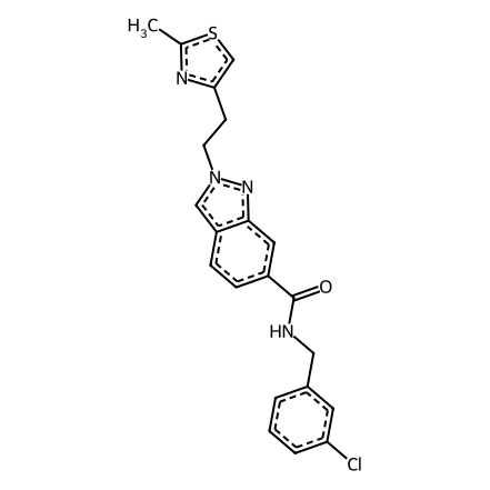 Cc1nc(CCn2cc3ccc(C(=O)NCc4cccc(Cl)c4)cc3n2)cs1